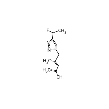 C=C(C)/C=C(\C)Cc1cc(C(C)F)n[nH]1